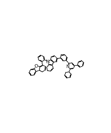 C1=CCC(c2cc(-c3ccccc3)cc(-c3cccc(-c4ccc5c(c4)c4c(n5-c5ccccc5C5=C6Oc7ccccc7C6CC=C5)CCC=C4)c3)n2)C=C1